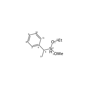 CCO[SiH](OC)C(C)c1ccccc1